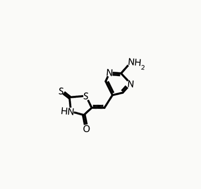 Nc1ncc(/C=C2\SC(=S)NC2=O)cn1